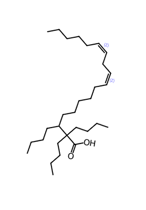 CCCCC/C=C\C/C=C\CCCCCC(CCCC)C(CCCC)(CCCC)C(=O)O